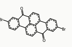 O=C1c2cc(Br)ccc2-c2ccc3c4c(ccc1c24)-c1ccc(Br)cc1C3=O